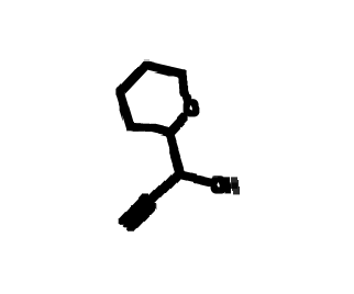 C#CC(O)C1CCCCO1